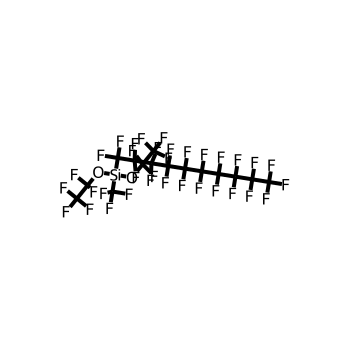 FC(F)(F)C(F)(F)O[Si](OC(F)(F)C(F)(F)F)(C(F)(F)F)C(F)(F)C(F)(F)C(F)(F)C(F)(F)C(F)(F)C(F)(F)C(F)(F)C(F)(F)C(F)(F)C(F)(F)F